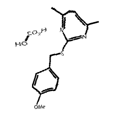 COc1ccc(CSc2nc(C)cc(C)n2)cc1.O=C(O)O